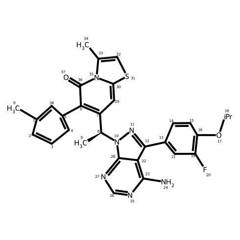 Cc1cccc(-c2c([C@H](C)n3nc(-c4ccc(OC(C)C)c(F)c4)c4c(N)ncnc43)cc3scc(C)n3c2=O)c1